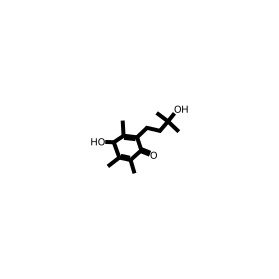 CC1=C(C)C(O)C(C)=C(CCC(C)(C)O)C1=O